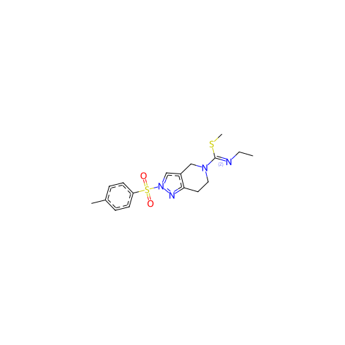 CC/N=C(\SC)N1CCc2nn(S(=O)(=O)c3ccc(C)cc3)cc2C1